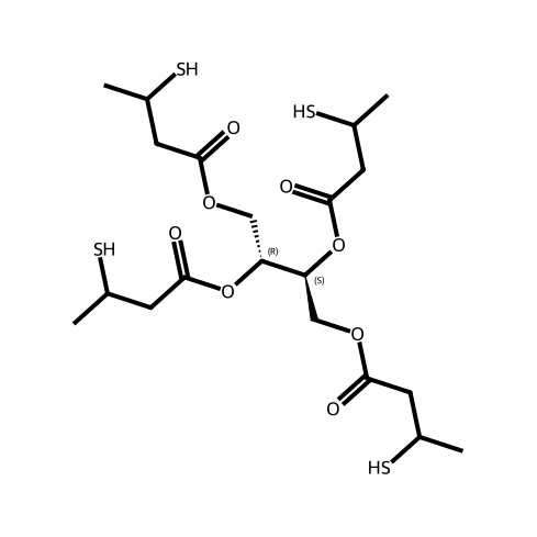 CC(S)CC(=O)OC[C@H](OC(=O)CC(C)S)[C@@H](COC(=O)CC(C)S)OC(=O)CC(C)S